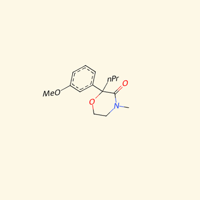 CCCC1(c2cccc(OC)c2)OCCN(C)C1=O